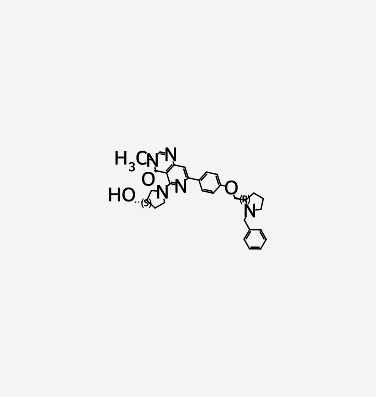 Cn1cnc2cc(-c3ccc(OC[C@H]4CCCN4Cc4ccccc4)cc3)nc(N3CC[C@H](CO)C3)c2c1=O